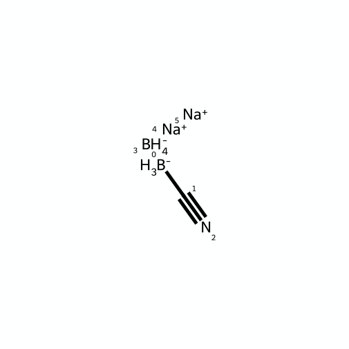 [BH3-]C#N.[BH4-].[Na+].[Na+]